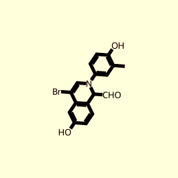 Cc1cc(N2C=C(Br)c3cc(O)ccc3C2C=O)ccc1O